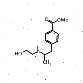 COC(=O)c1ccc(CC(C)NCCO)cc1